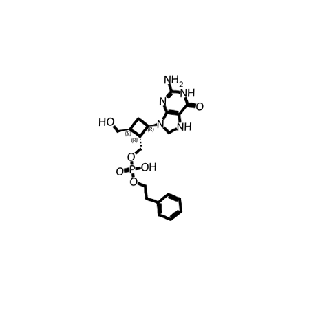 Nc1nc2c(c(=O)[nH]1)NCN2[C@@H]1C[C@H](CO)[C@H]1COP(=O)(O)OCCc1ccccc1